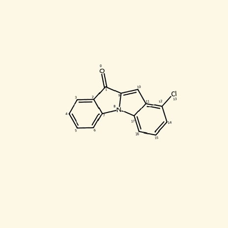 O=C1c2ccccc2-n2c1cc1c(Cl)cccc12